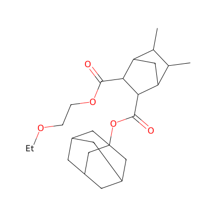 CCOCCOC(=O)C1C2CC(C(C)C2C)C1C(=O)OC12CC3CC(CC(C3)C1)C2